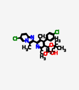 Cc1nc(-c2nc3ccc(Cl)cn3c2C)c(C)c(-c2ccc(Cl)cc2)c1C(OC(C)(C)C)C(=O)O